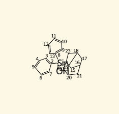 O[Si](c1ccccc1)(c1ccccc1)C12CC3CC(CC(C3)C1)C2